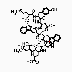 CSCC[C@H](N)C(=O)N[C@@H](Cc1ccc(O)cc1)C(=O)N[C@@H](CC(=O)O)C(=O)N[C@@H](Cc1c[nH]c2ccccc12)C(=O)N[C@@H](Cc1c[nH]c2ccccc12)C(=O)N1CCC[C@H]1C(=O)N[C@@H](CCC(=O)O)C(=O)N[C@@H](CC(C)C)C(=O)O